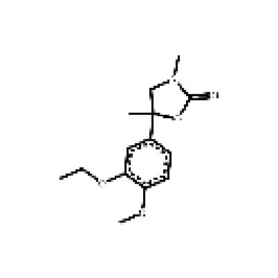 CCOc1cc(C2(C)CN(C)C(=O)O2)ccc1OC